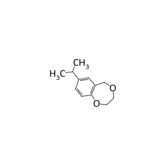 CC(C)c1ccc2c(c1)COCCO2